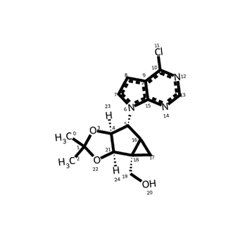 CC1(C)O[C@H]2[C@H](n3ccc4c(Cl)ncnc43)C3C[C@@]3(CO)[C@H]2O1